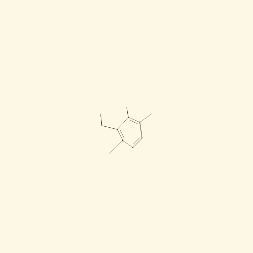 Cc1ccc(C)c(CO)c1N